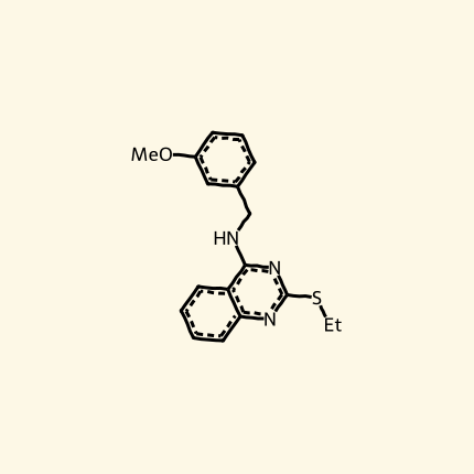 CCSc1nc(NCc2cccc(OC)c2)c2ccccc2n1